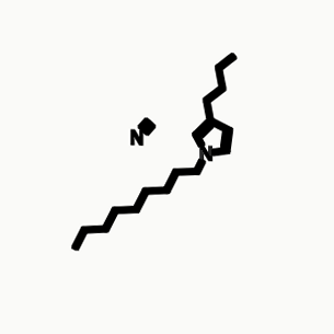 C#N.CCCCCCCCCn1ccc(CCCC)c1